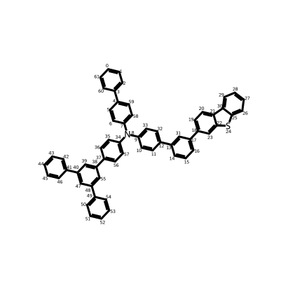 c1ccc(-c2ccc(N(c3ccc(-c4cccc(-c5ccc6c(c5)sc5ccccc56)c4)cc3)c3ccc(-c4cc(-c5ccccc5)cc(-c5ccccc5)c4)cc3)cc2)cc1